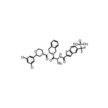 CC(C)(C)[C@H](NC(=O)c1cc2cc(C(F)(F)P(=O)(O)O)ccc2s1)C(=O)N1Cc2ccccc2C[C@H]1C(=O)N1CCOC(c2cc(Cl)cc(Cl)c2)C1